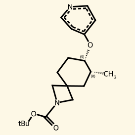 C[C@@H]1CC2(CC[C@@H]1Oc1ccncc1)CN(C(=O)OC(C)(C)C)C2